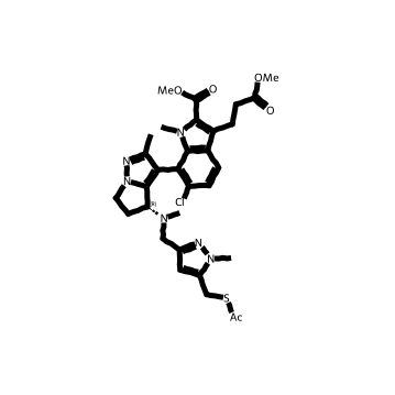 COC(=O)CCc1c(C(=O)OC)n(C)c2c(-c3c(C)nn4c3[C@H](N(C)Cc3cc(CSC(C)=O)n(C)n3)CC4)c(Cl)ccc12